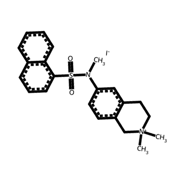 CN(c1ccc2c(c1)CC[N+](C)(C)C2)S(=O)(=O)c1cccc2ccccc12.[I-]